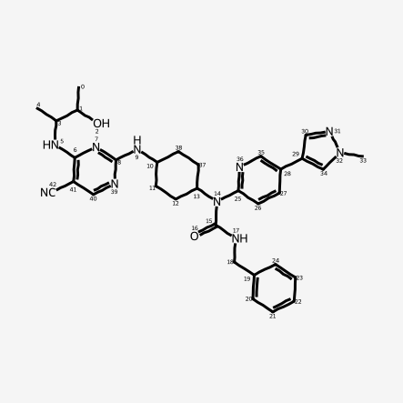 CC(O)C(C)Nc1nc(NC2CCC(N(C(=O)NCc3ccccc3)c3ccc(-c4cnn(C)c4)cn3)CC2)ncc1C#N